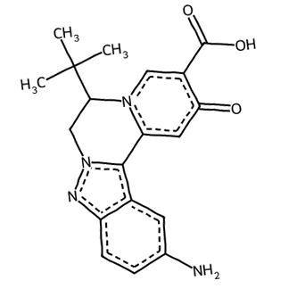 CC(C)(C)C1Cn2nc3ccc(N)cc3c2-c2cc(=O)c(C(=O)O)cn21